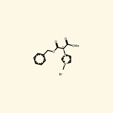 COC(=O)[C@H](C(=O)OCc1ccccc1)n1cc[n+](C)c1.[Br-]